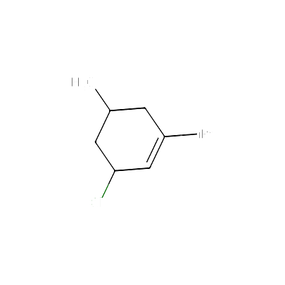 CC1CC(C(C)C)=CC(Cl)C1